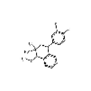 COC1c2ncccc2N(c2ccc(Cl)c(F)c2)CC1(C)C